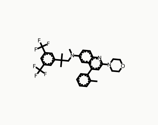 Cc1ccccc1-c1cc(N2CCOCC2)nc2ccc(N(C)CC(C)(C)c3cc(C(F)(F)F)cc(C(F)(F)F)c3)cc12